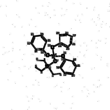 CC[Si](CC)(CC)[O][Ti]([O]c1ccccc1)([O]c1ccccc1)[O]c1ccccc1